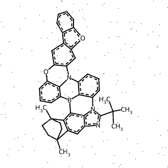 CC(C)(C)c1nc2cc3c(c4c2n1-c1cccc2c1B4c1cccc4c1N2c1cc2oc5ccccc5c2cc1O4)C1(C)CCC3(C)CC1